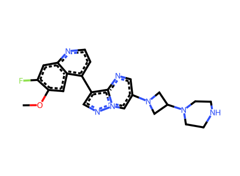 COc1cc2c(-c3cnn4cc(N5CC(N6CCNCC6)C5)cnc34)ccnc2cc1F